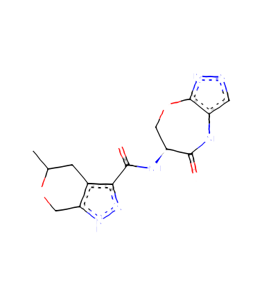 CC1Cc2c(C(=O)N[C@H]3COc4[nH]ncc4NC3=O)n[nH]c2CO1